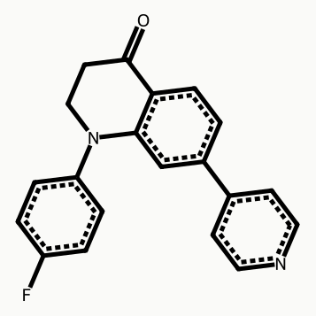 O=C1CCN(c2ccc(F)cc2)c2cc(-c3ccncc3)ccc21